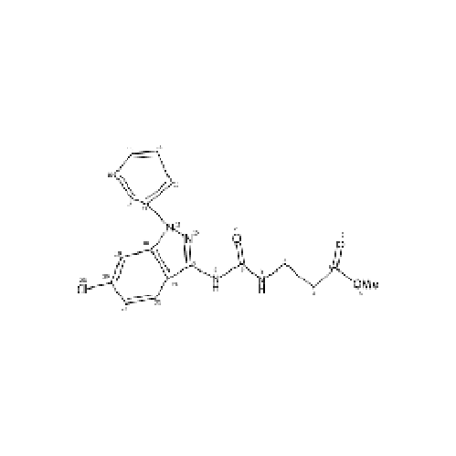 COC(=O)CCNC(=O)Nc1nn(-c2ccccc2)c2cc(Cl)ccc12